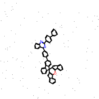 c1ccc(-c2ccc(-c3nc(-c4ccc(-c5ccc6c(c5)-c5ccccc5C65c6ccc7ccccc7c6Oc6c5ccc5ccccc65)cc4)c4ccccc4n3)cc2)cc1